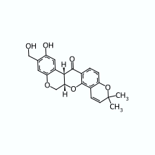 CC1(C)C=Cc2c(ccc3c2O[C@@H]2COc4cc(CO)c(O)cc4[C@@H]2C3=O)O1